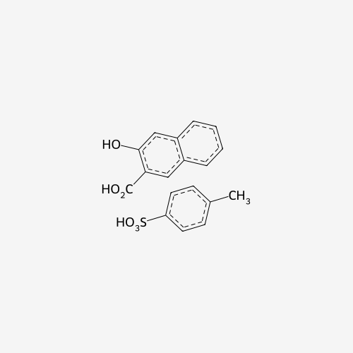 Cc1ccc(S(=O)(=O)O)cc1.O=C(O)c1cc2ccccc2cc1O